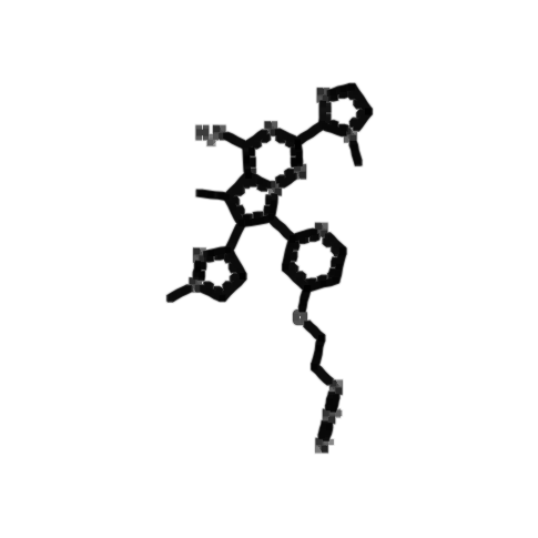 Cc1c(-c2ccn(C)n2)c(-c2cc(OCCN=[N+]=[N-])ccn2)n2nc(-c3nccn3C)nc(N)c12